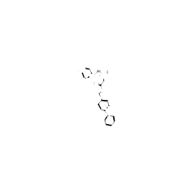 CC(C)N(CC(=O)NCc1ccc(-c2ccccc2)cc1C(F)(F)F)S(=O)(=O)c1ccc(F)cc1